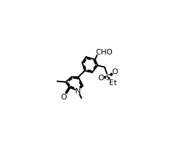 CCS(=O)(=O)Cc1cc(-c2cc(C)c(=O)n(C)c2)ccc1C=O